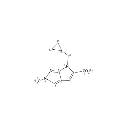 CCOC(=O)c1cc2cn(C)nc2n1CC1CC1